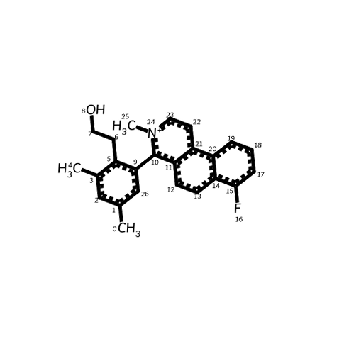 Cc1cc(C)c(CCO)c(-c2c3ccc4c(F)cccc4c3cc[n+]2C)c1